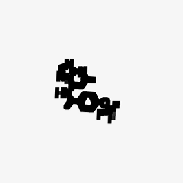 Cc1cc(NC(C)c2ccc(OC(F)(F)F)cc2)n2ncnc2n1